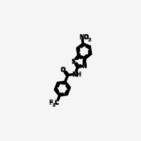 O=C(Nc1nc2ccc([N+](=O)[O-])cc2s1)c1ccc(C(F)(F)F)cc1